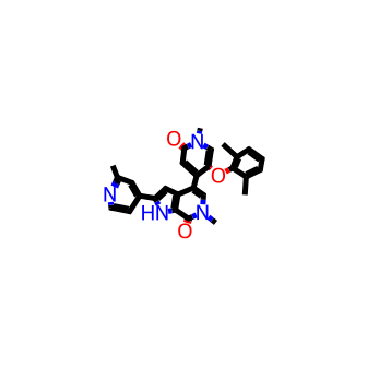 Cc1cc(-c2cc3c(-c4cc(=O)n(C)cc4Oc4c(C)cccc4C)cn(C)c(=O)c3[nH]2)ccn1